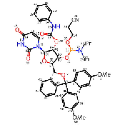 COc1ccc(C(OC[C@H]2O[C@@H](n3ccc(=O)[nH]c3=O)[C@H](OC(=O)Nc3ccccc3)[C@@H]2OP(OCCC#N)N(C(C)C)C(C)C)(c2ccccc2)c2ccc(OC)cc2)cc1